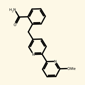 COc1cccc(-c2ccc(Cc3ccccc3C(N)=O)cn2)n1